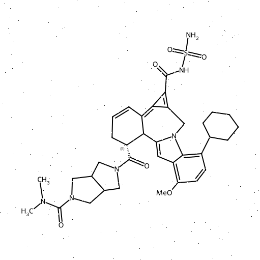 COc1ccc(C2CCCCC2)c2c1cc1n2CC2=C(C(=O)NS(N)(=O)=O)C2=C2C=CC[C@@H](C(=O)N3CC4CN(C(=O)N(C)C)CC4C3)C21